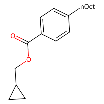 CCCCCCCCc1ccc(C(=O)OCC2CC2)cc1